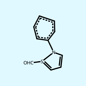 O=CS1=CC=CN1c1ccccc1